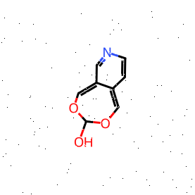 OC1OC=c2ccncc2=CO1